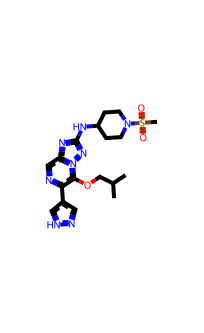 CC(C)COc1c(-c2cn[nH]c2)ncc2nc(NC3CCN(S(C)(=O)=O)CC3)nn12